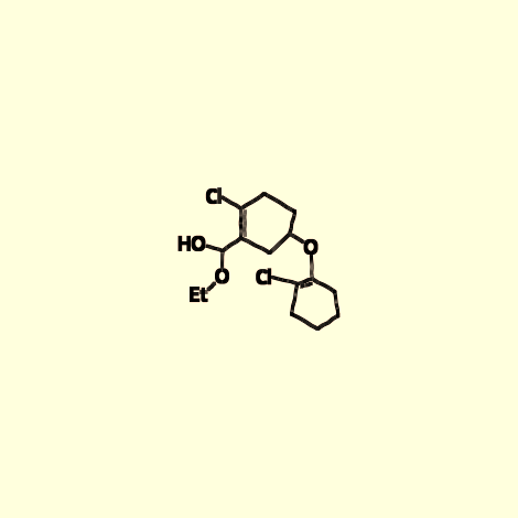 CCOC(O)C1=C(Cl)CCC(OC2=C(Cl)CCCC2)C1